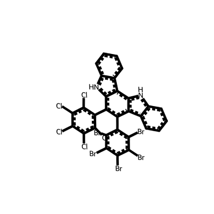 Clc1c(Cl)c(Cl)c(-c2c(-c3c(Br)c(Br)c(Br)c(Br)c3Br)c3c4ccccc4[nH]c3c3c2[nH]c2ccccc23)c(Cl)c1Cl